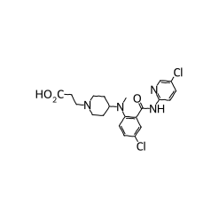 CN(c1ccc(Cl)cc1C(=O)Nc1ccc(Cl)cn1)C1CCN(CCC(=O)O)CC1